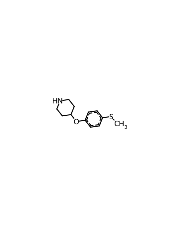 CSc1ccc(OC2CCNCC2)cc1